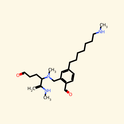 C=C(NC)C(CCC=O)N(C)Cc1cc(CCCCCCCNC)ccc1C=O